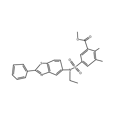 CCN(c1ccc2sc(-c3ccccc3)nc2c1)S(=O)(=O)c1cc(C)c(C)c(C(=O)OC)c1